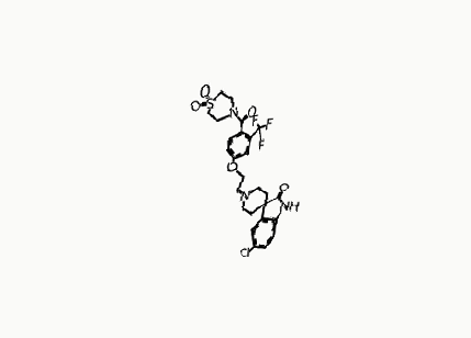 O=C(c1ccc(OCCN2CCC3(CC2)C(=O)Nc2ccc(Cl)cc23)cc1C(F)(F)F)N1CCS(=O)(=O)CC1